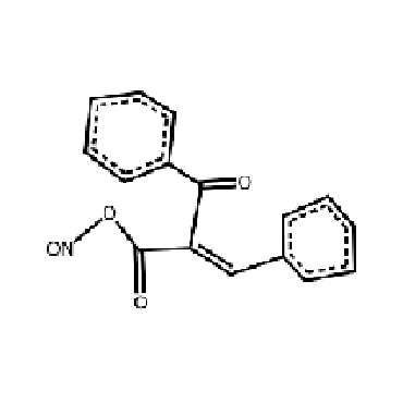 O=NOC(=O)/C(=C/c1ccccc1)C(=O)c1ccccc1